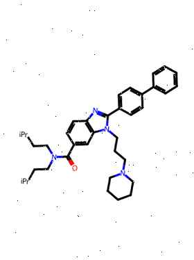 CC(C)CCN(CCC(C)C)C(=O)c1ccc2nc(-c3ccc(-c4ccccc4)cc3)n(CCCN3CCCCC3)c2c1